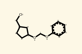 ClCC1CCC(OCOc2ccccc2)C1